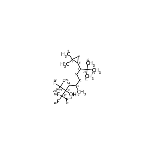 CC(CCC(C1CC1(C)C)C(C)(C)C)CC(O)(C(F)(F)F)C(F)(F)F